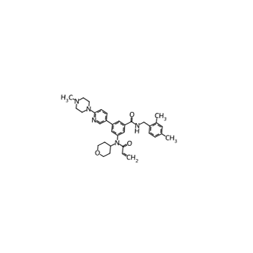 C=CC(=O)N(c1cc(C(=O)NCc2ccc(C)cc2C)cc(-c2ccc(N3CCN(C)CC3)nc2)c1)C1CCOCC1